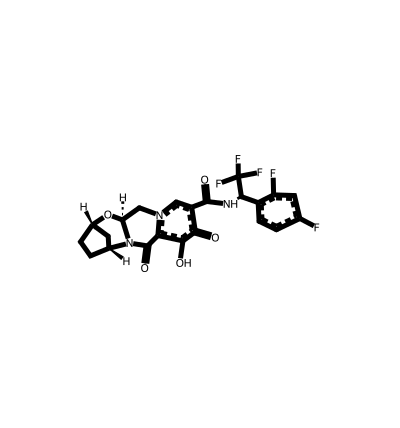 O=C(N[C@@H](c1ccc(F)cc1F)C(F)(F)F)c1cn2c(c(O)c1=O)C(=O)N1[C@@H]3CC[C@@H](C3)O[C@H]1C2